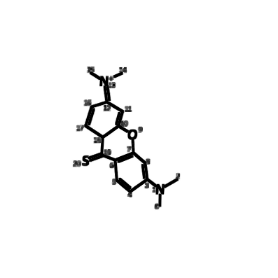 CN(C)c1ccc2c(c1)OC1=CC(=[N+](C)C)C=CC1C2=S